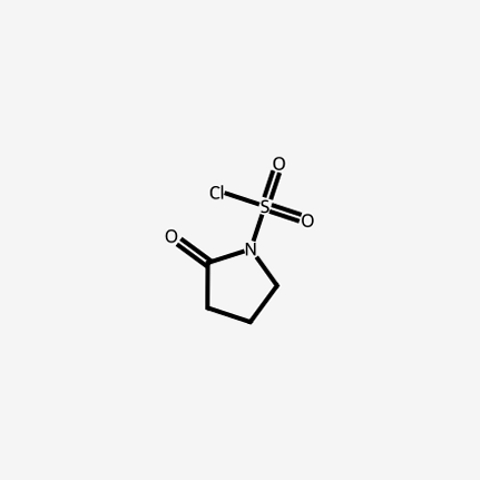 O=C1CCCN1S(=O)(=O)Cl